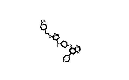 CN1CCN(CCOc2cc(N[C@H]3CC[C@@H](Oc4cc(N5CCOCC5)cc5nccnc45)CC3)ncn2)CC1